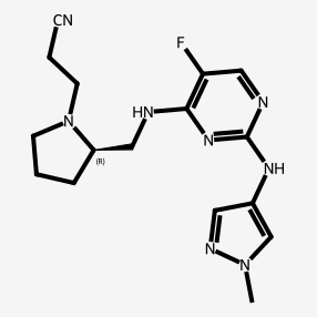 Cn1cc(Nc2ncc(F)c(NC[C@H]3CCCN3CCC#N)n2)cn1